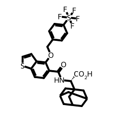 O=C(N[C@H](C(=O)O)C12CC3CC(CC(C3)C1)C2)c1ccc2sccc2c1OCc1ccc(S(F)(F)(F)(F)F)cc1